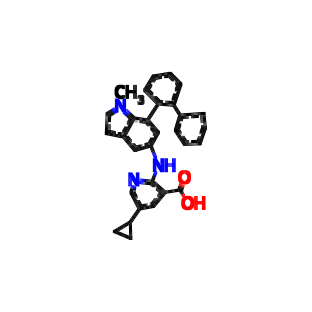 Cn1ccc2cc(Nc3ncc(C4CC4)cc3C(=O)O)cc(-c3ccccc3-c3ccccc3)c21